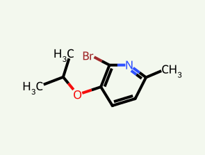 Cc1ccc(OC(C)C)c(Br)n1